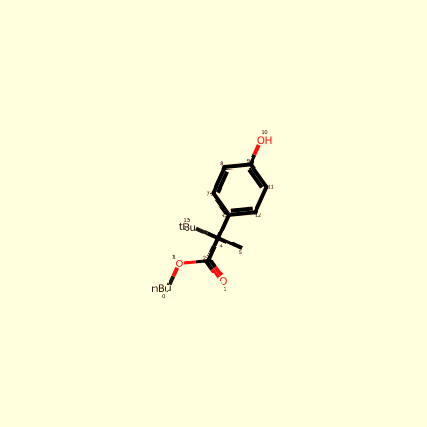 CCCCOC(=O)C(C)(c1ccc(O)cc1)C(C)(C)C